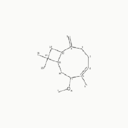 C=C1CCC=C(C)C(OC)CC2C1CC2(C)C